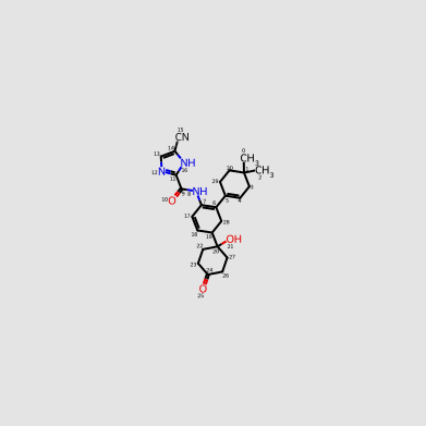 CC1(C)CC=C(C2=C(NC(=O)c3ncc(C#N)[nH]3)C=CC(C3(O)CCC(=O)CC3)C2)CC1